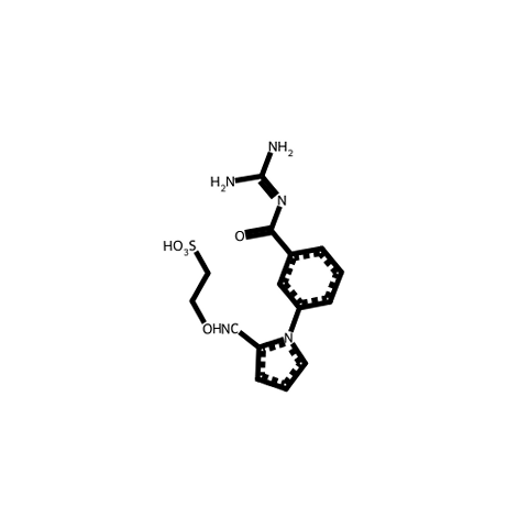 N#Cc1cccn1-c1cccc(C(=O)N=C(N)N)c1.O=S(=O)(O)CCO